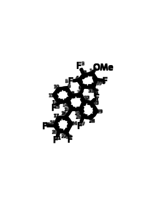 COc1c(F)c(F)c(-c2c3cccc(F)c3c(-c3cc(F)c(F)c(F)c3)c3c(F)ccc(F)c23)c(F)c1F